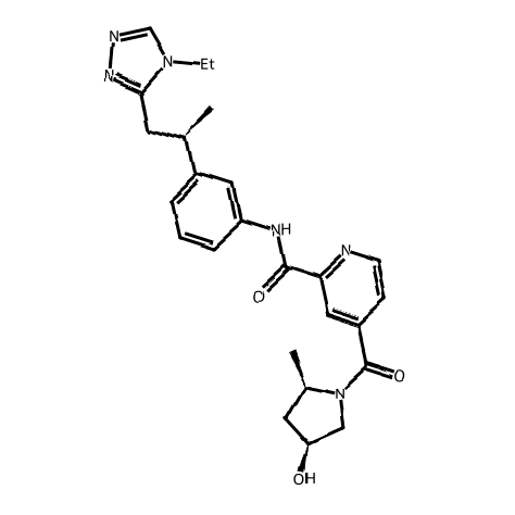 CCn1cnnc1C[C@@H](C)c1cccc(NC(=O)c2cc(C(=O)N3C[C@@H](O)C[C@H]3C)ccn2)c1